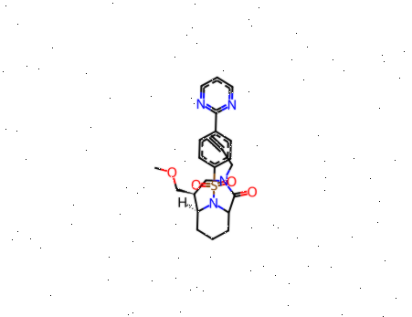 C#CCN1C[C@H](COC)[C@@H]2CCCC(C1=O)N2S(=O)(=O)c1ccc(-c2ncccn2)cc1